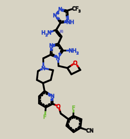 N#Cc1ccc(COc2nc(C3CCN(Cc4nc(/C=C(\N)c5nnc(C(F)(F)F)[nH]5)c(N)n4CC4CCO4)CC3)ccc2F)c(F)c1